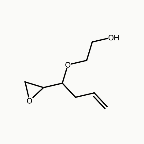 C=CCC(OCCO)C1CO1